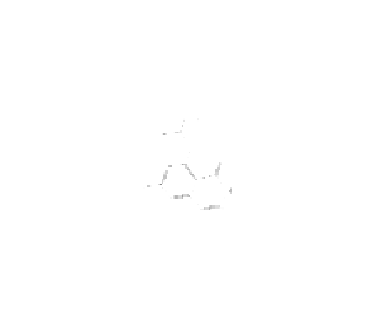 CC(Oc1cc(Br)cc2cn[nH]c(=O)c12)C(F)(F)F